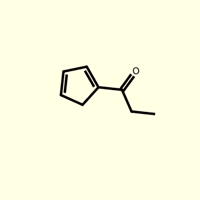 CCC(=O)C1=CC=CC1